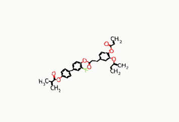 C=CC(=C)Oc1cc(CCC(=O)Oc2ccc(-c3ccc(OC(=O)C(=C)C)cc3)cc2F)ccc1OC(=O)C=C